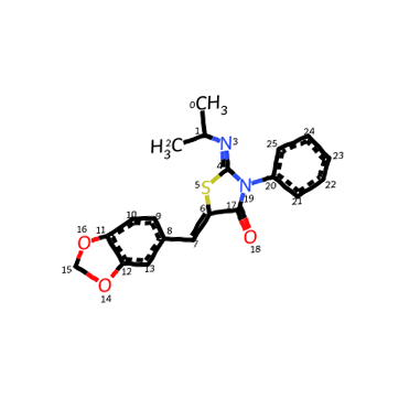 CC(C)/N=C1\S/C(=C\c2ccc3c(c2)OCO3)C(=O)N1c1ccccc1